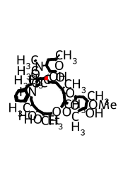 CC[C@H]1OC(=O)C(C)[C@H](OC2C[C@@](C)(OC)[C@@H](O)[C@H](C)O2)[C@H](C)[C@@H](O[C@@H]2O[C@H](C)C[C@H](N(C)C)[C@H]2CC(=O)OCc2ccccc2)[C@@](C)(O)C[C@@H](C)NC[C@H](C)[C@@H](O)[C@]1(C)O